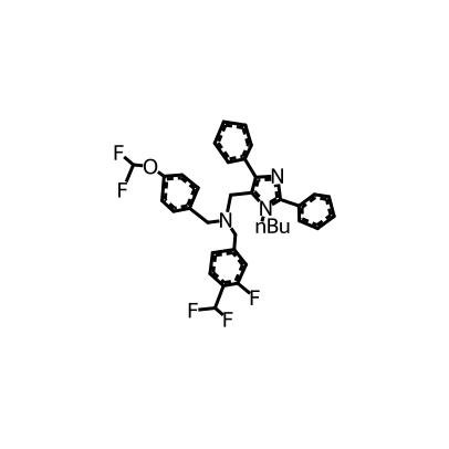 CCCCn1c(-c2ccccc2)nc(-c2ccccc2)c1CN(Cc1ccc(OC(F)F)cc1)Cc1ccc(C(F)F)c(F)c1